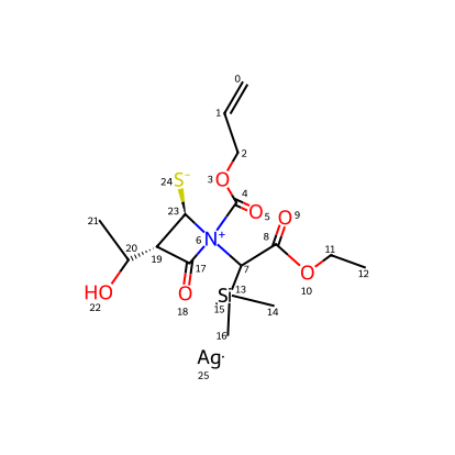 C=CCOC(=O)[N+]1(C(C(=O)OCC)[Si](C)(C)C)C(=O)[C@H](C(C)O)[C@H]1[S-].[Ag]